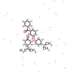 CC(C)c1ccc(Oc2cccc(C(=O)c3ccccc3)c2Oc2ccc(C(C)C)cc2)cc1